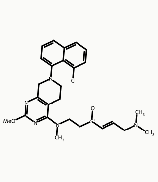 COc1nc2c(c(N(C)CC[S+]([O-])/C=C/CN(C)C)n1)CCN(c1cccc3cccc(Cl)c13)C2